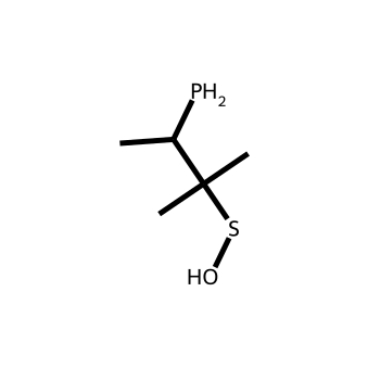 CC(P)C(C)(C)SO